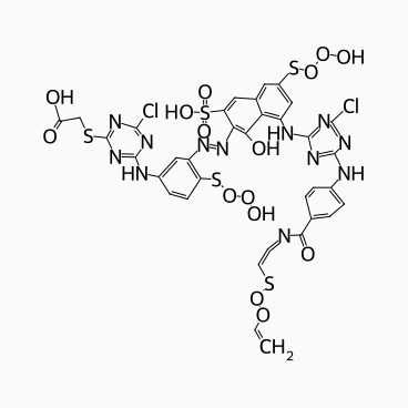 C=COOSC=C=NC(=O)c1ccc(Nc2nc(Cl)nc(Nc3cc(SOOO)cc4cc(S(=O)(=O)O)c(N=Nc5cc(Nc6nc(Cl)nc(SCC(=O)O)n6)ccc5SOOO)c(O)c34)n2)cc1